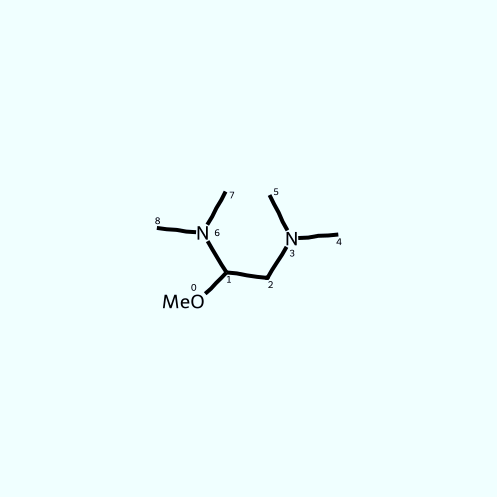 COC(CN(C)C)N(C)C